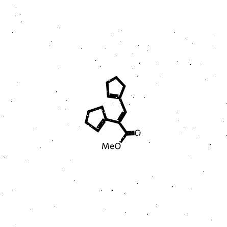 COC(=O)C(=CC1=CCCC1)C1=CCCC1